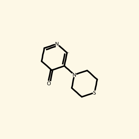 O=C1CC=N[C]=C1N1CCSCC1